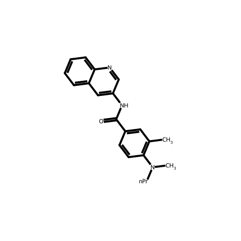 CCCN(C)c1ccc(C(=O)Nc2cnc3ccccc3c2)cc1C